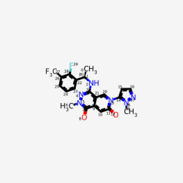 C[C@@H](Nc1nn(C)c(=O)c2cc(=O)n(-c3ccnn3C)cc12)c1cccc(C(F)(F)F)c1F